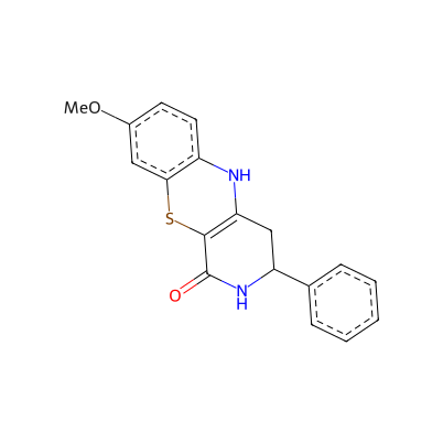 COc1ccc2c(c1)SC1=C(CC(c3ccccc3)NC1=O)N2